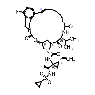 C=C[C@@H]1C[C@]1(NC(=O)[C@@H]1C[C@@H]2CN1C(=O)[C@H](C(C)C)NC(=O)OCCC/C=C/c1ccc(F)c3c1CN(C3)C(=O)O2)C(=O)NS(=O)(=O)C1CC1